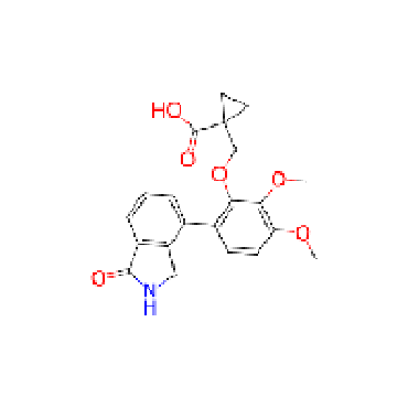 COc1ccc(-c2cccc3c2CNC3=O)c(OCC2(C(=O)O)CC2)c1OC